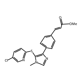 COC(=O)C=Cc1ccc(-c2ncn(C)c2Sc2ccc(Cl)cn2)cc1